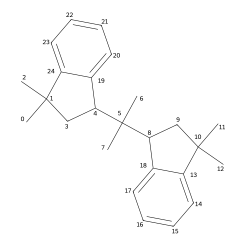 CC1(C)CC(C(C)(C)C2CC(C)(C)c3ccccc32)c2ccccc21